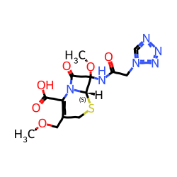 COCC1=C(C(=O)O)N2C(=O)C(NC(=O)Cn3cnnn3)(OC)[C@@H]2SC1